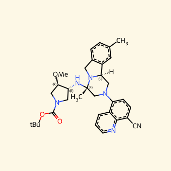 CO[C@@H]1CN(C(=O)OC(C)(C)C)C[C@H]1N[C@@]1(C)CN(c2ccc(C#N)c3ncccc23)C[C@@H]2c3cc(C)ccc3CN21